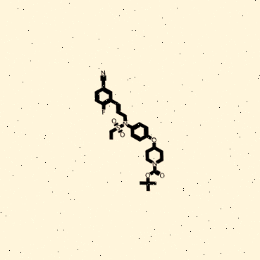 CCS(=O)(=O)N(C/C=C/c1cc(C#N)ccc1F)c1ccc(OC2CCN(C(=O)OC(C)(C)C)CC2)cc1